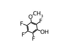 COc1c(F)c(O)c(F)c(F)c1F